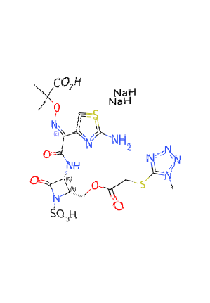 Cn1nnnc1SCC(=O)OC[C@H]1[C@@H](NC(=O)/C(=N/OC(C)(C)C(=O)O)c2csc(N)n2)C(=O)N1S(=O)(=O)O.[NaH].[NaH]